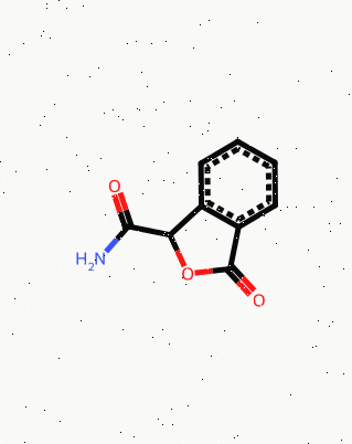 NC(=O)C1OC(=O)c2cc[c]cc21